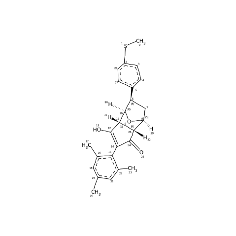 CSc1ccc([C@H]2C[C@@H]3O[C@H]2[C@H]2C(O)=C(c4c(C)cc(C)cc4C)C(=O)[C@H]23)cc1